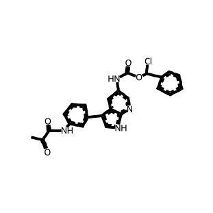 CC(=O)C(=O)Nc1cccc(-c2c[nH]c3ncc(NC(=O)OC(Cl)c4ccccc4)cc23)c1